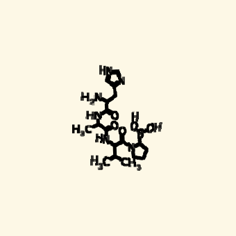 CC(NC(=O)C(N)Cc1c[nH]cn1)C(=O)NC(C(=O)N1CCCC1B(O)O)C(C)C